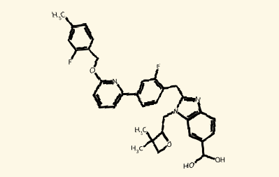 Cc1ccc(COc2cccc(-c3ccc(Cc4nc5ccc(C(O)O)cc5n4CC4OCC4(C)C)c(F)c3)n2)c(F)c1